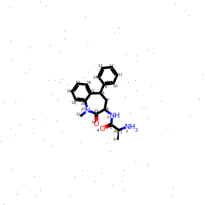 C[C@H](N)C(=O)NC1CC(c2ccccc2)c2ccccc2N(C)C1=O